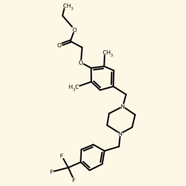 CCOC(=O)COc1c(C)cc(CN2CCN(Cc3ccc(C(F)(F)F)cc3)CC2)cc1C